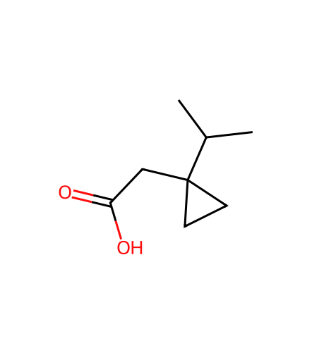 CC(C)C1(CC(=O)O)CC1